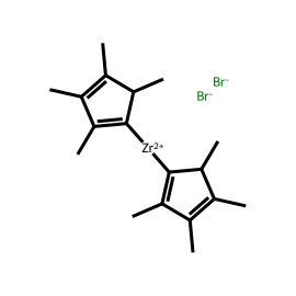 CC1=C(C)C(C)[C]([Zr+2][C]2=C(C)C(C)=C(C)C2C)=C1C.[Br-].[Br-]